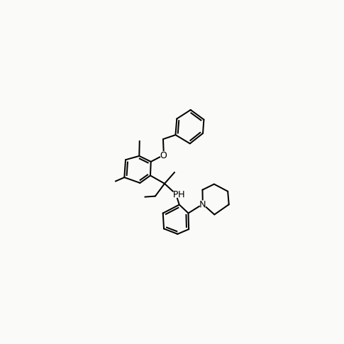 CCC(C)(Pc1ccccc1N1CCCCC1)c1cc(C)cc(C)c1OCc1ccccc1